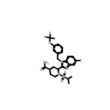 CC(C)S(=O)(=O)N1CCC(C(N)=O)CC1c1nc2cc(F)ccc2n1Cc1cccc(OC(F)(F)F)c1